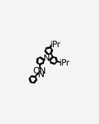 CC(C)c1ccc2c(c1)c1cc(C(C)C)ccc1n2-c1cccc(-c2nnc(-c3ccccc3)o2)c1